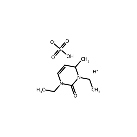 CCN1C=CC(C)N(CC)C1=O.O=S(=O)([O-])O.[H+]